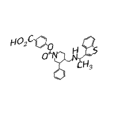 C[C@@H](NCC1CCN(C(=O)Oc2ccc(C(=O)O)cc2)CC1c1ccccc1)c1csc2ccccc12